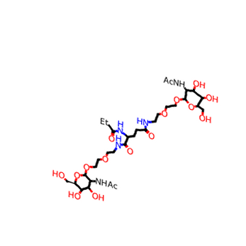 CCC(=O)NC(CCC(=O)NCCOCCOC1OC(CO)C(O)C(O)C1NC(C)=O)C(=O)NCCOCCOC1O[C@H](CO)C(O)C(O)C1NC(C)=O